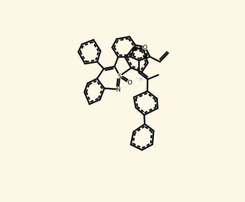 C=Cc1oc2cccc(C3=C(c4ccccc4)c4ccccc4N=S3(=O)c3ccccc3)c2c1/C=C(\C)c1ccc(-c2ccccc2)cc1